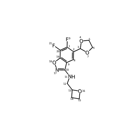 Fc1c(C2OCCO2)cc2c(NCC3CCO3)noc2c1F